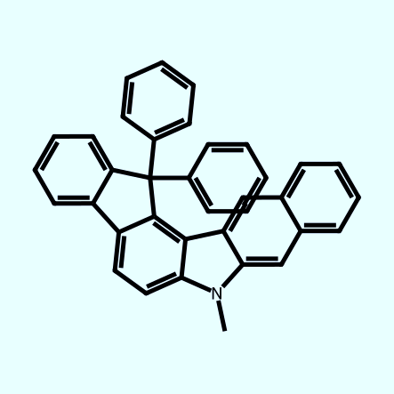 Cn1c2cc3ccccc3cc2c2c3c(ccc21)-c1ccccc1C3(c1ccccc1)c1ccccc1